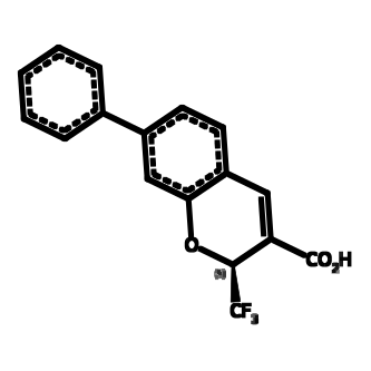 O=C(O)C1=Cc2ccc(-c3ccccc3)cc2O[C@@H]1C(F)(F)F